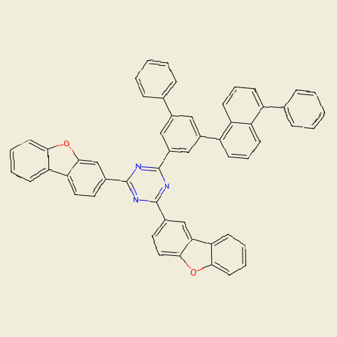 c1ccc(-c2cc(-c3nc(-c4ccc5c(c4)oc4ccccc45)nc(-c4ccc5oc6ccccc6c5c4)n3)cc(-c3cccc4c(-c5ccccc5)cccc34)c2)cc1